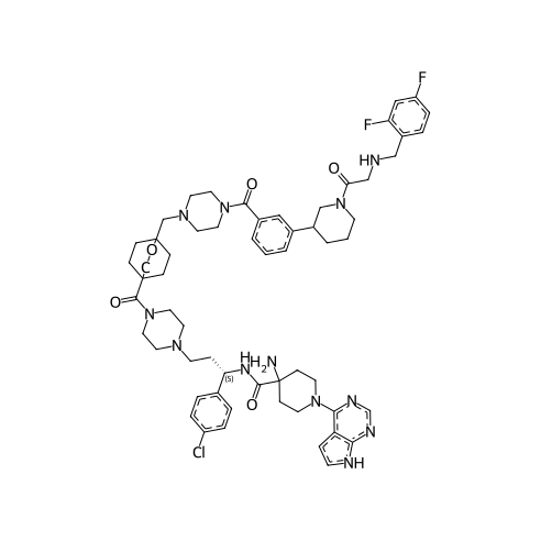 NC1(C(=O)N[C@@H](CCN2CCN(C(=O)C34CCC(CN5CCN(C(=O)c6cccc(C7CCCN(C(=O)CNCc8ccc(F)cc8F)C7)c6)CC5)(CC3)OC4)CC2)c2ccc(Cl)cc2)CCN(c2ncnc3[nH]ccc23)CC1